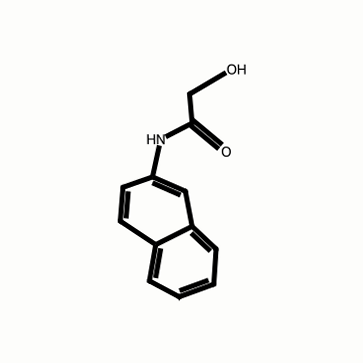 O=C(CO)Nc1ccc2c[c]ccc2c1